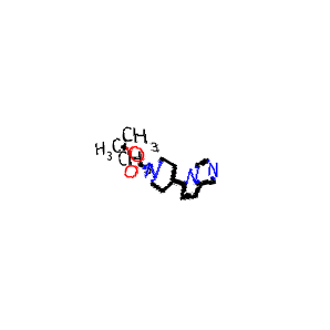 CC(C)(C)OC(=O)N1CC=C(c2ccc3cnccn23)CC1